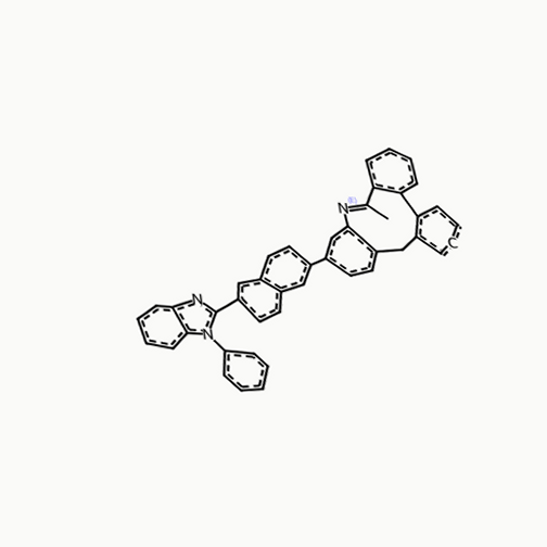 C/C1=N\c2cc(-c3ccc4cc(-c5nc6ccccc6n5-c5ccccc5)ccc4c3)ccc2Cc2ccccc2-c2ccccc21